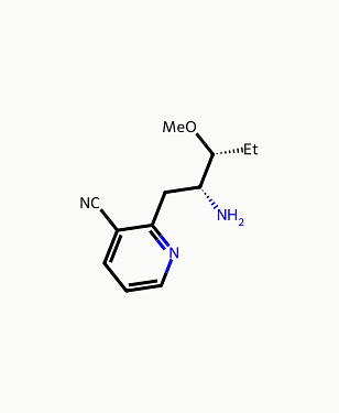 CC[C@@H](OC)[C@H](N)Cc1ncccc1C#N